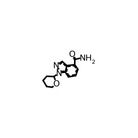 NC(=O)c1cccc2c1cnn2C1CCCCO1